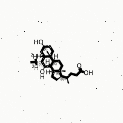 [2H]C([2H])(C)[C@H]1[C@@H](O)[C@@H]2[C@H](CC[C@]3(C)[C@@H]([C@H](C)CCC(=O)O)CC[C@@H]23)[C@@]2(C)CC[C@@H](O)C[C@@H]12